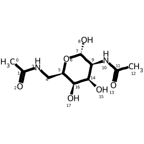 CC(=O)NC[C@H]1O[C@H](O)[C@@H](NC(C)=O)[C@@H](O)[C@H]1O